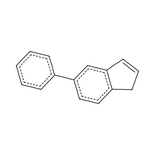 C1=Cc2cc(-c3ccccc3)ccc2C1